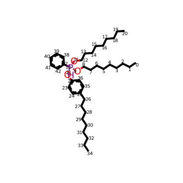 CCCCCCCCCO[PH](OCCCCCCCCC)(Oc1ccc(CCCCCCCCC)cc1)c1ccccc1